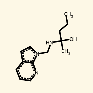 CCCC(C)(O)NCn1ccc2cccnc21